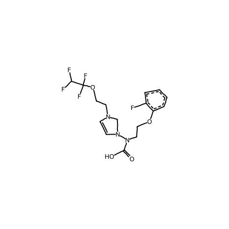 O=C(O)N(CCOc1ccccc1F)N1C=CN(CCOC(F)(F)C(F)F)C1